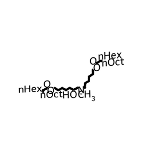 CCCCCCCCC(CCCCCC)C(=O)OCCCCCCN(C)CC(O)CCCCCOC(=O)C(CCCCCC)CCCCCCCC